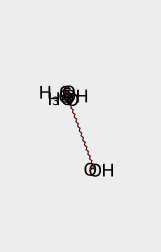 CS(=O)(=O)O.O=C(O)CCCCCCCCCCCCCCCCCCCCCCCCCCCCC(=O)O